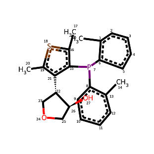 Cc1ccccc1P(c1ccccc1C)c1c(C)sc(C)c1[C@H]1COC[C@@H]1O